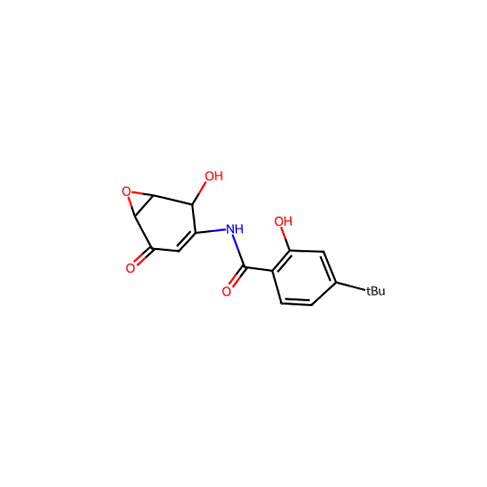 CC(C)(C)c1ccc(C(=O)NC2=CC(=O)C3OC3C2O)c(O)c1